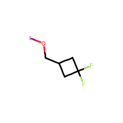 FC1(F)CC(COI)C1